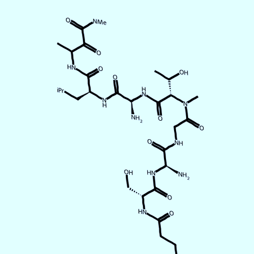 CCCCCCCCCCCCCC(=O)N[C@H](CO)C(=O)N[C@H](N)C(=O)NCC(=O)N(C)[C@H](C(=O)N[C@@H](N)C(=O)N[C@@H](CC(C)C)C(=O)NC(C)C(=O)C(=O)NC)C(C)O